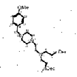 CCCCCCCCCCCCN(CCCCCCCCCCCC)CCN1CCN(Cc2ccc(OC)cc2)CC1